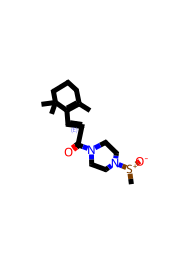 CC1=C(/C=C/C(=O)N2CCN([S+](C)[O-])CC2)C(C)(C)CCC1